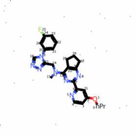 CCCOc1ccnc(-c2nc3c(c(N(C)Cc4nncn4-c4cccc(F)c4)n2)CCC3)c1